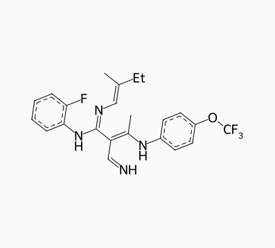 CC/C(C)=C/N=C(Nc1ccccc1F)\C(C=N)=C(/C)Nc1ccc(OC(F)(F)F)cc1